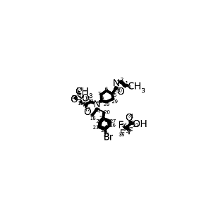 Cc1cnc(C2CCC(N3C[C@H](CS(C)(=O)=O)OC[C@@H]3Cc3ccc(Br)cc3)CC2)o1.O=C(O)C(F)(F)F